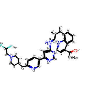 CNC(=O)c1ccnc2c(C(C)[C@H](C)CNc3cc(-c4ccc(CC5CCN(CC(F)F)CC5)nc4)ncn3)cccc12